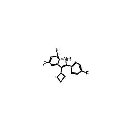 Fc1ccc(-c2[nH]c3c(F)cc(F)cc3c2C2[CH]CC2)cc1